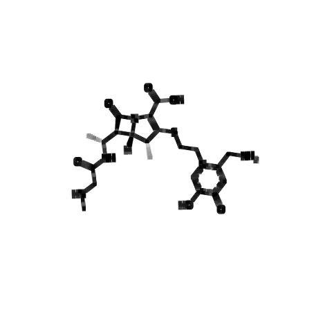 CNCC(=O)N[C@H](C)[C@H]1C(=O)N2C(C(=O)O)=C(SCCn3cc(O)c(=O)cc3CN)[C@H](C)[C@H]12